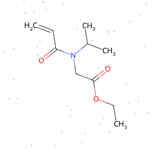 C=CC(=O)N(CC(=O)OCC)C(C)C